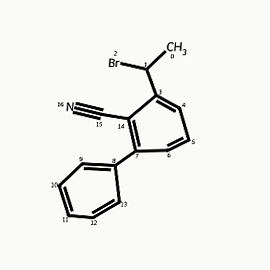 CC(Br)c1cccc(-c2ccccc2)c1C#N